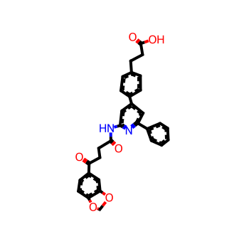 O=C(O)CCc1ccc(-c2cc(NC(=O)CCC(=O)c3ccc4c(c3)OCO4)nc(-c3ccccc3)c2)cc1